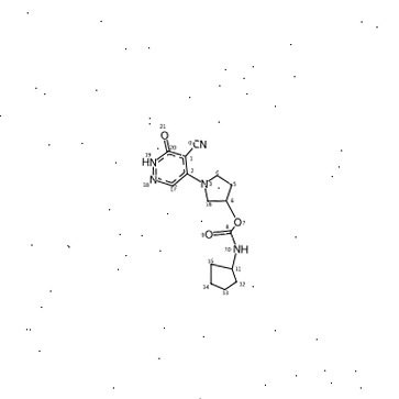 N#Cc1c(N2CCC(OC(=O)NC3CCCC3)C2)cn[nH]c1=O